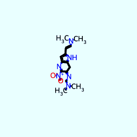 CN(C)C=Cc1cc2c([nH]1)CC(=NCN(C)C)C([N+](=O)[O-])=N2